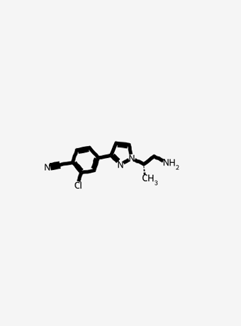 C[C@@H](CN)n1ccc(-c2ccc(C#N)c(Cl)c2)n1